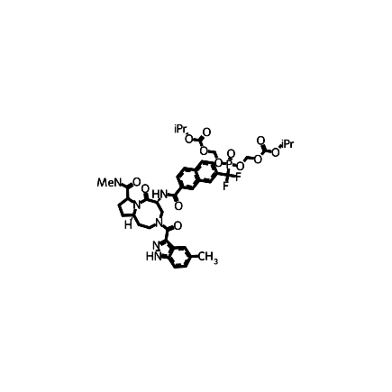 CNC(=O)C1CC[C@@H]2CCN(C(=O)c3n[nH]c4ccc(C)cc34)C[C@H](NC(=O)c3ccc4ccc(C(F)(F)P(=O)(OCOC(=O)OC(C)C)OCOC(=O)OC(C)C)cc4c3)C(=O)N12